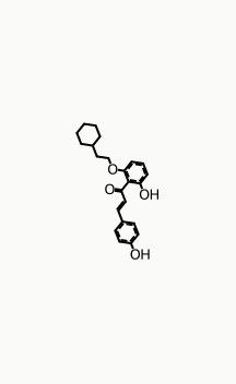 O=C(/C=C/c1ccc(O)cc1)c1c(O)cccc1OCCC1CCCCC1